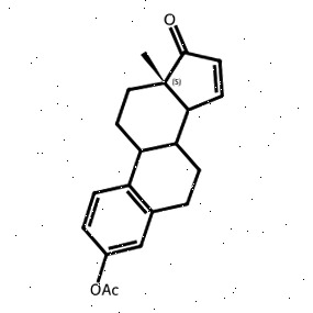 CC(=O)Oc1ccc2c(c1)CCC1C2CC[C@]2(C)C(=O)C=CC12